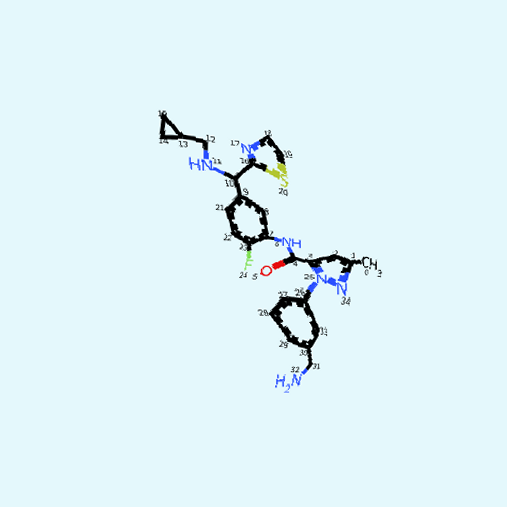 Cc1cc(C(=O)Nc2cc(C(NCC3CC3)c3nccs3)ccc2F)n(-c2cccc(CN)c2)n1